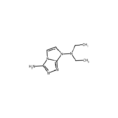 CCN(CC)n1ccn2c(N)nnc12